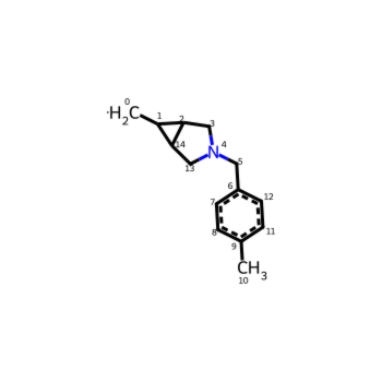 [CH2]C1C2CN(Cc3ccc(C)cc3)CC12